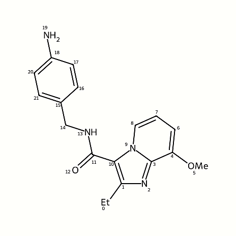 CCc1nc2c(OC)cccn2c1C(=O)NCc1ccc(N)cc1